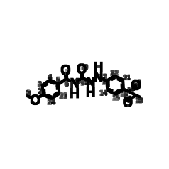 COc1ccc(C(=O)NC(=O)NNc2ccc(S(C)(=O)=O)cc2)cc1